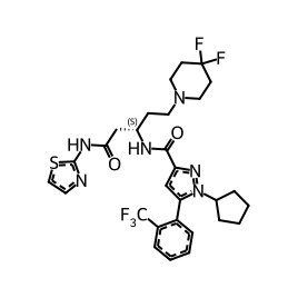 O=C(C[C@H](CCN1CCC(F)(F)CC1)NC(=O)c1cc(-c2ccccc2C(F)(F)F)n(C2CCCC2)n1)Nc1nccs1